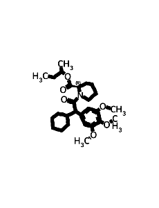 CCC(C)OC(=O)[C@H]1CCCCN1C(=O)C(c1cc(OC)c(OC)c(OC)c1)C1CCCCC1